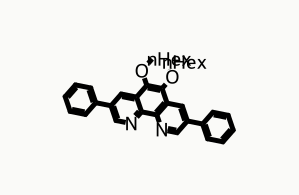 CCCCCCOc1c(OCCCCCC)c2cc(-c3ccccc3)cnc2c2ncc(-c3ccccc3)cc12